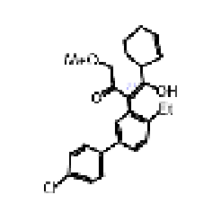 CCc1ccc(-c2ccc(Cl)cc2)cc1/C(C(=O)COC)=C(\O)C1C=CCCC1